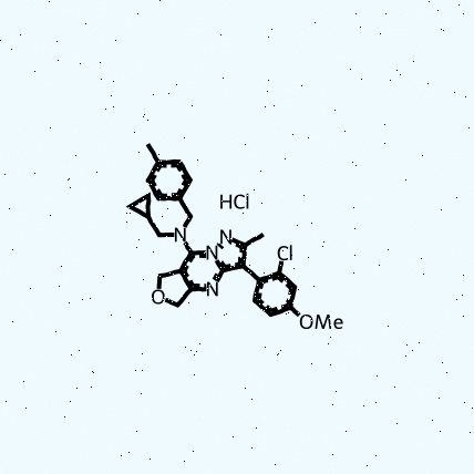 COc1ccc(-c2c(C)nn3c(N(Cc4ccc(C)cc4)CC4CC4)c4c(nc23)COC4)c(Cl)c1.Cl